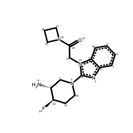 N[C@@H]1CN(c2nc3ccccc3n2CC(=O)N2CCC2)CC[C@H]1F